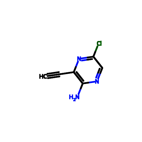 C#Cc1nc(Cl)cnc1N